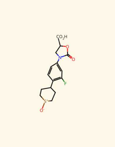 O=C(O)C1CN(c2ccc(C3CC[S+]([O-])CC3)c(F)c2)C(=O)O1